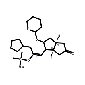 CC(C)(C)[Si](C)(C)O/C(=C/C1C(OC2CCCCO2)C[C@H]2CC(=O)C[C@@H]12)CC1CCCC1